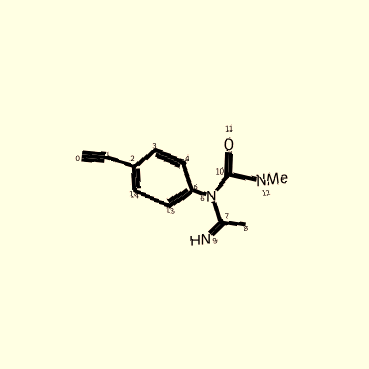 C#Cc1ccc(N(C(C)=N)C(=O)NC)cc1